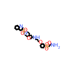 NC(=O)CS(=O)(=O)c1cccc(OCCCN[C@H]2COC3(CCN(S(=O)(=O)c4cnc5ccccc5c4)CC3)C2)c1